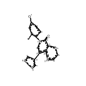 Cc1cc(Cl)ccc1-n1cc(-c2cn[nH]c2)c2nccnc2c1=O